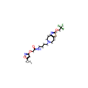 Cc1cc(OCC(=O)NCCCCN2CCc3nc(OCC(F)(F)F)sc3CC2)no1